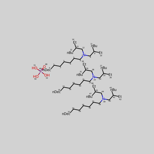 CCCCCCCCCCCCCCCCN(CC(CC)CCCC)CC(CC)CCCC.CCCCCCCCCCCCCCCCN(CC(CC)CCCC)CC(CC)CCCC.CCCCCCCCCCCCCCCCN(CC(CC)CCCC)CC(CC)CCCC.O=P(O)(O)O